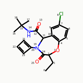 CCC1Oc2ccc(Cl)cc2C(C(=O)NC(C)(C)C)N(C2=CC=C2)C1=O